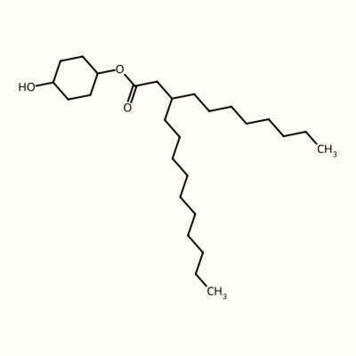 CCCCCCCCCCC(CCCCCCCC)CC(=O)OC1CCC(O)CC1